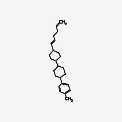 C=CCCC=CC1CCC(C2CCC(c3ccc(C)cc3)CC2)CC1